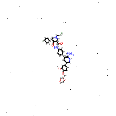 COc1cc(-c2cnc(N)c(-c3ccc(NC(=O)c4cn(CCF)cc(-c5ccc(F)cc5)c4=O)cc3)c2)ccc1OC[C@H]1COCCO1